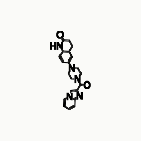 O=C1CCc2cc(N3CCN(C(=O)c4cn5ccccc5n4)CC3)ccc2N1